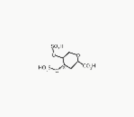 O=C(O)C1C[C@@H](OS(=O)(=O)O)C(OS(=O)(=O)O)CO1